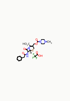 CN1CCN(C(=O)OCC2=C(C(=O)O)N3C(=O)C(NC(=O)Cc4ccccc4)[C@H]3SC2)CC1.O=C(O)C(F)(F)F